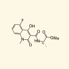 COC(=O)[C@H](C)NC(=O)c1c(O)c2c(F)cccc2n(C)c1=O